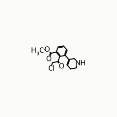 COC(=O)c1cccc(C2=CCCNC2)c1C(=O)CCl